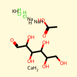 CC(=O)O.Cl.Cl.O=CC(O)C(O)C(O)C(O)CO.[CaH2].[KH].[NaH].[NaH]